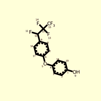 Oc1ccc(Oc2ccc(C(F)C(F)(F)C(F)(F)F)cc2)cc1